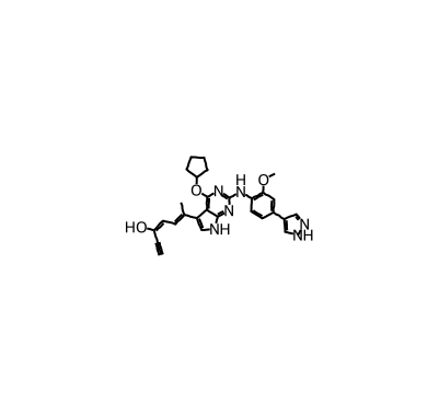 C#C/C(O)=C\C=C(/C)c1c[nH]c2nc(Nc3ccc(-c4cn[nH]c4)cc3OC)nc(OC3CCCC3)c12